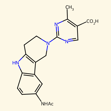 CC(=O)Nc1ccc2[nH]c3c(c2c1)CN(c1ncc(C(=O)O)c(C)n1)CC3